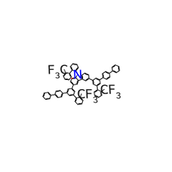 FC(F)(F)c1ccccc1-c1cc(-c2ccc(-c3ccccc3)cc2)cc(-c2ccc3c(c2)c2cc(-c4cc(-c5ccc(-c6ccccc6)cc5)cc(-c5ccccc5C(F)(F)F)c4)ccc2n3-c2ccccc2-c2ccccc2C(F)(F)F)c1